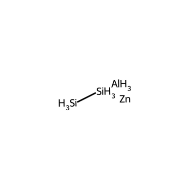 [AlH3].[SiH3][SiH3].[Zn]